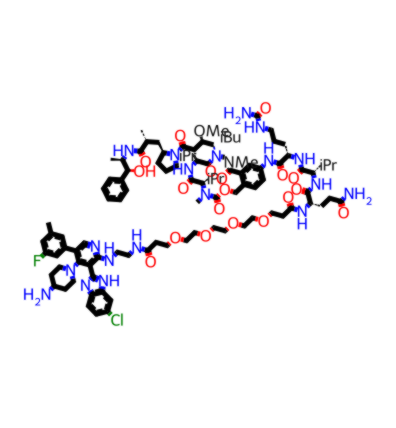 CC[C@H](C)[C@@H]([C@@H](CC(=O)N1CCC[C@H]1C[C@@H](C)C(=O)N[C@H](C)[C@@H](O)c1ccccc1)OC)N(C)C(=O)[C@@H](NC(=O)[C@H](C(C)C)N(C)C(=O)OCc1ccc(NC(=O)[C@H](CCCNC(N)=O)NC(=O)[C@@H](NC(=O)[C@H](CCC(N)=O)NC(=O)CCOCCOCCOCCOCCC(=O)NCCNc2ncc(-c3cc(C)cc(F)c3)c(N3CCC(N)CC3)c2-c2nc3ccc(Cl)cc3[nH]2)C(C)C)cc1C(=O)NC)C(C)C